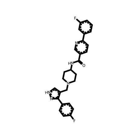 O=C(NC1CCN(Cc2c[nH]nc2-c2ccc(F)cc2)CC1)c1ccc(-c2cccc(F)c2)nc1